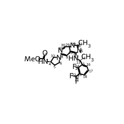 COC(=O)N[C@@H]1CCN(c2cc3c(N[C@H](C)c4cccc(C(F)F)c4F)nc(C)nc3cn2)C1